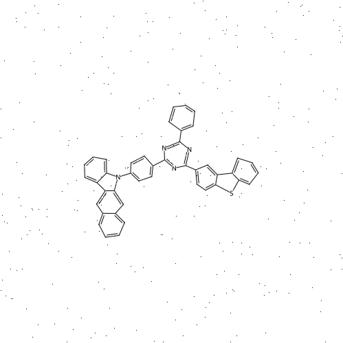 c1ccc(-c2nc(-c3ccc(-n4c5ccccc5c5cc6ccccc6cc54)cc3)nc(-c3ccc4sc5ccccc5c4c3)n2)cc1